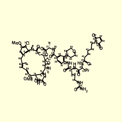 COc1cc2cc(c1Cl)N(C)C(=O)C[C@H](OC(=O)[C@H](C)N(C)C(=O)c1ccc(NC(=O)[C@H](CCCNC(N)=O)NC(=O)[C@@H](NC(=O)CCCCCN3C(=O)C=CC3=O)C(C)C)c(N3CCOCC3)c1)[C@]1(C)O[C@H]1[C@H](C)[C@@H]1C[C@@](O)(NC(=O)O1)[C@H](OC)/C=C/C=C(\C)C2